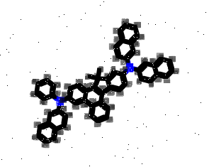 CC1(C)c2cc(N(c3ccc4ccccc4c3)c3ccc4ccccc4c3)ccc2-c2c1c1ccc(N(c3ccccc3)c3ccc4ccccc4c3)cc1c1ccccc21